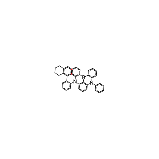 c1ccc(N2c3ccccc3B3c4ccccc4N(c4ccccc4-c4cccc5c4CCCC5)c4cccc2c43)cc1